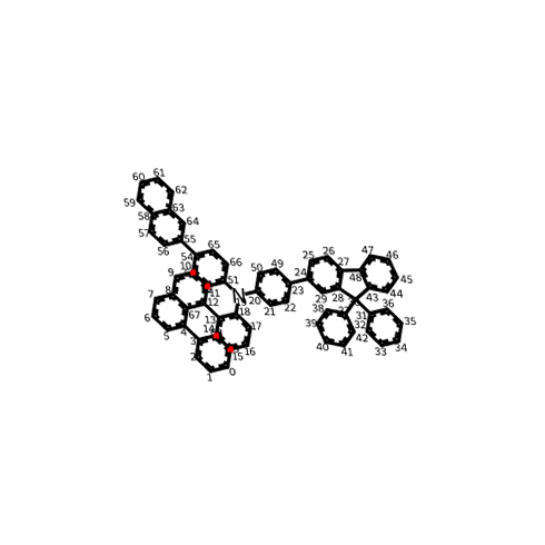 c1ccc(-c2cccc3cccc(-c4ccccc4N(c4ccc(-c5ccc6c(c5)C(c5ccccc5)(c5ccccc5)c5ccccc5-6)cc4)c4ccc(-c5ccc6ccccc6c5)cc4)c23)cc1